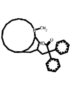 CN1CCCCCCCCCCC2CCC1CC(CC(C(=O)O)(c1ccccc1)c1ccccc1)C2